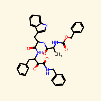 CC(NC(=O)OCc1ccccc1)C(=O)NC(Cc1c[nH]c2ccccc12)C(=O)NC(Cc1ccccc1)C(=O)C(=O)NCc1ccccc1